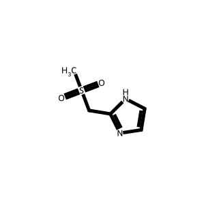 CS(=O)(=O)Cc1ncc[nH]1